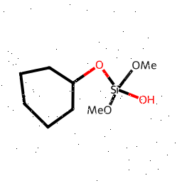 CO[Si](O)(OC)OC1CCCCC1